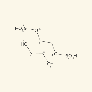 O=S(=O)(O)OCCOS(=O)(=O)O.OCCO